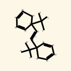 CC(C)(C)C1(/C=C/C2(C(C)(C)C)C=CC=CC2)C=CC=CC1